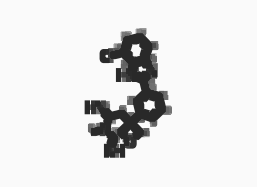 CN(C=N)C(=N)CC1(c2cccc(-c3nc4cccc(Cl)c4[nH]3)c2)COC1